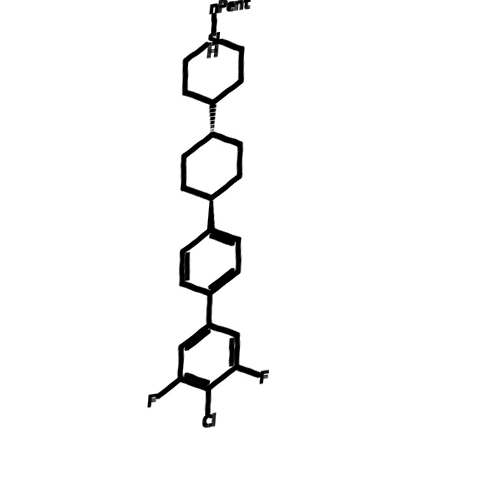 CCCCC[SiH]1CCC([C@H]2CC[C@H](c3ccc(-c4cc(F)c(Cl)c(F)c4)cc3)CC2)CC1